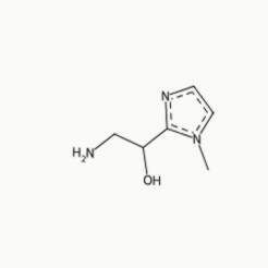 Cn1ccnc1C(O)CN